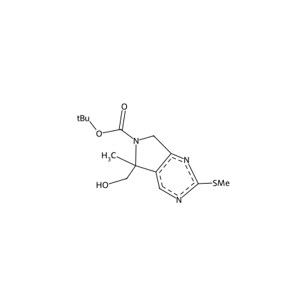 CSc1ncc2c(n1)CN(C(=O)OC(C)(C)C)C2(C)CO